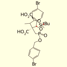 CC([C@H](O[Si](C)(C)C(C)(C)C)C(=O)O)[C@@](C)(CP(=O)(OCc1ccc(Br)cc1)OCc1ccc(Br)cc1)C(=O)O